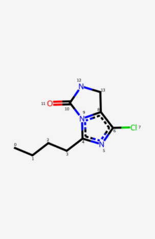 CCCCc1nc(Cl)c2n1C(=O)[N]C2